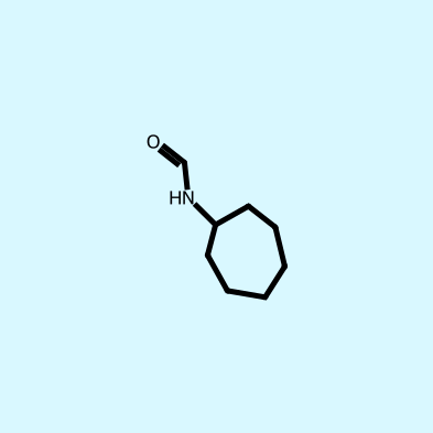 O=CNC1CCCCCC1